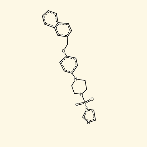 O=S(=O)(N1CCN(c2ccc(OCc3ccc4ccccc4c3)cc2)CC1)n1ccnc1